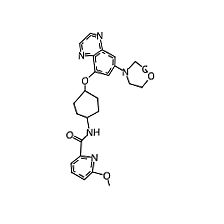 COc1cccc(C(=O)NC2CCC(Oc3cc(N4CCOCC4)cc4nccnc34)CC2)n1